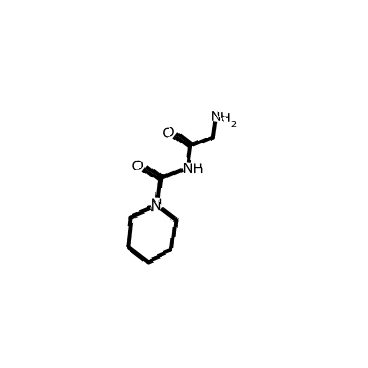 NCC(=O)NC(=O)N1CCCCC1